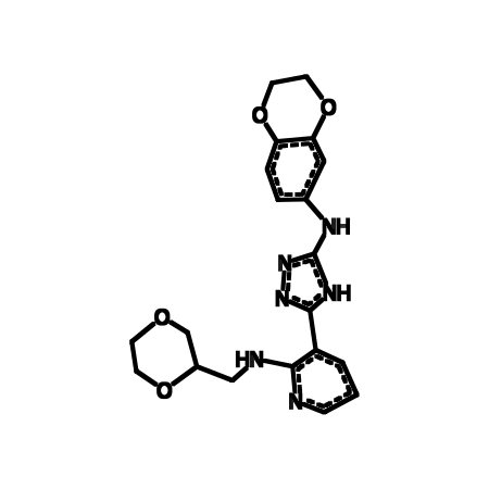 c1cnc(NCC2COCCO2)c(-c2nnc(Nc3ccc4c(c3)OCCO4)[nH]2)c1